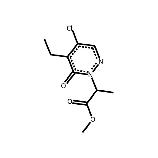 CCc1c(Cl)cnn(C(C)C(=O)OC)c1=O